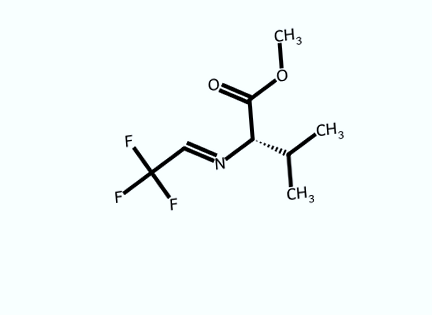 COC(=O)[C@@H](/N=C/C(F)(F)F)C(C)C